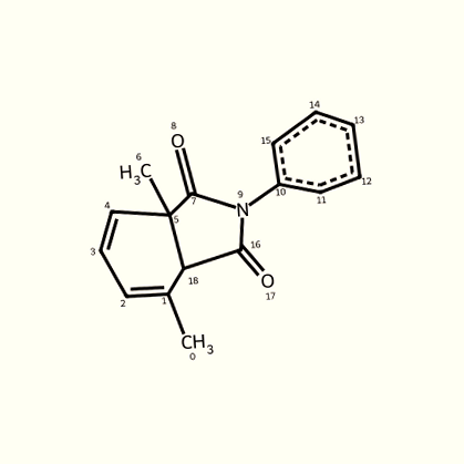 CC1=CC=CC2(C)C(=O)N(c3ccccc3)C(=O)C12